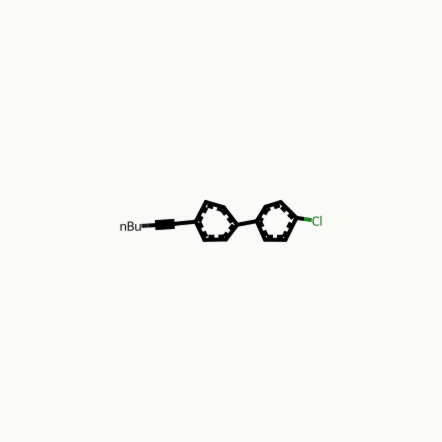 CCCCC#Cc1ccc(-c2ccc(Cl)cc2)cc1